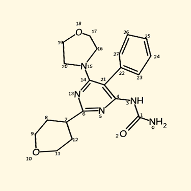 NC(=O)Nc1nc(C2CCOCC2)nc(N2CCOCC2)c1-c1ccccc1